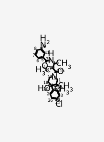 CC(NC(=O)c1cccc(N)c1)[C@@H](C)C(=O)N1CC[C@](O)(c2ccc(Cl)cc2)C(C)(C)C1